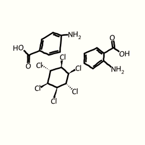 Cl[C@H]1[C@H](Cl)[C@@H](Cl)[C@@H](Cl)[C@H](Cl)[C@H]1Cl.Nc1ccc(C(=O)O)cc1.Nc1ccccc1C(=O)O